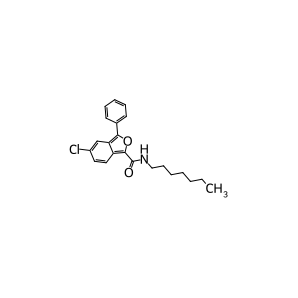 CCCCCCCNC(=O)c1oc(-c2ccccc2)c2cc(Cl)ccc12